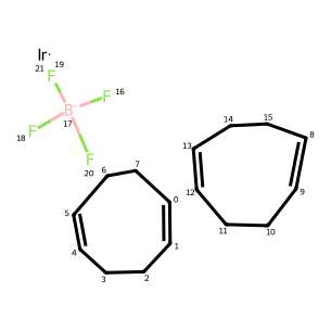 C1=CCCC=CCC1.C1=CCCC=CCC1.F[B-](F)(F)F.[Ir]